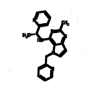 Cc1nc(N[C@H](C)c2ccccn2)c2c(ccn2Cc2ccccn2)n1